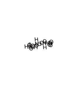 O=C(CCCCCC1(c2ccccc2)C(=O)NC(=O)NC1=O)NCCOCCOCCNC(=O)c1ccc(C(=O)ON2C(=O)CCC2=O)cc1